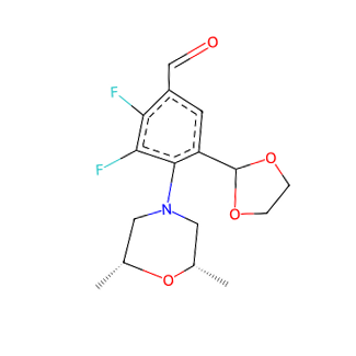 C[C@@H]1CN(c2c(C3OCCO3)cc(C=O)c(F)c2F)C[C@H](C)O1